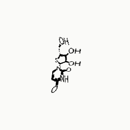 O=c1ccn([C@@H]2S[C@H](CO)C(O)C2O)c(=O)[nH]1